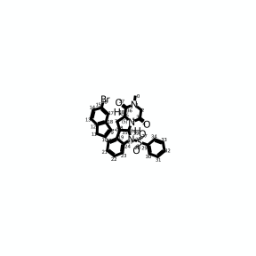 CN1CC(=O)N2[C@@H](C[C@]3(C4=CCc5ccc(Br)cc54)c4ccccc4N(S(=O)(=O)c4ccccc4)[C@H]23)C1=O